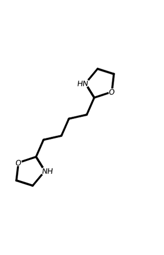 C(CCC1NCCO1)CC1NCCO1